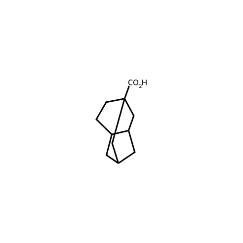 O=C(O)C12CCC3CC(CC3C1)C2